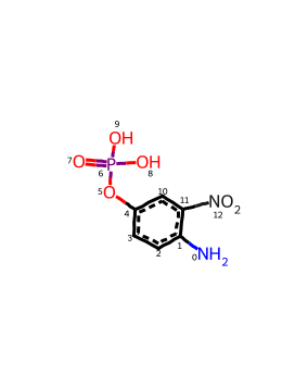 Nc1ccc(OP(=O)(O)O)cc1[N+](=O)[O-]